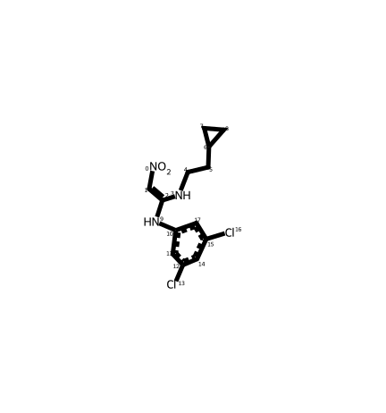 O=[N+]([O-])C=C(NCCC1CC1)Nc1cc(Cl)cc(Cl)c1